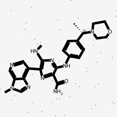 CNc1nc(Nc2ccc([C@H](C)N3CCOCC3)cc2)c(C(N)=O)nc1-c1cncc2c1ncn2C